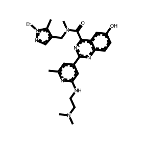 CCn1ncc(CN(C)C(=O)c2nc(-c3cc(C)nc(NCCN(C)C)c3)nc3ccc(O)cc23)c1C